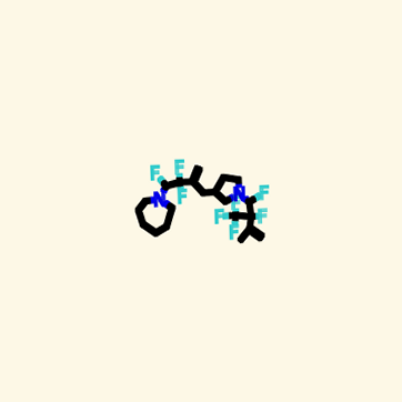 C=C(CC1CCN(C(F)C(F)(C(=C)C)C(F)(F)F)C1)C(F)(F)C(F)N1CCCCCC1